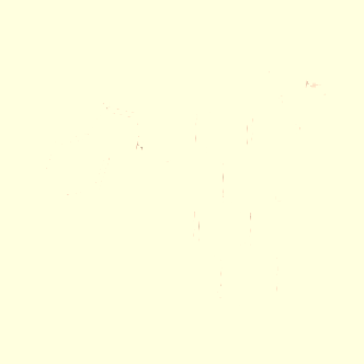 COc1ccc(-c2cc(S(N)(=O)=O)ccc2Cn2c(C)nc3ccccc32)c(OC)c1OC